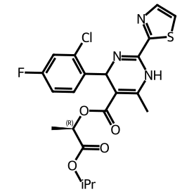 CC1=C(C(=O)O[C@H](C)C(=O)OC(C)C)C(c2ccc(F)cc2Cl)N=C(c2nccs2)N1